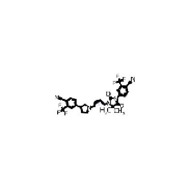 CC1(C)C(=O)N(c2ccc(C#N)c(C(F)(F)F)c2)C(=O)N1C/C=C\CN1CCC(c2ccc(C#N)c(C(F)(F)F)c2)C1